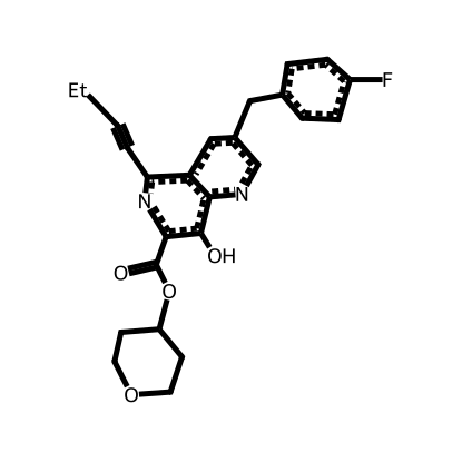 CCC#Cc1nc(C(=O)OC2CCOCC2)c(O)c2ncc(Cc3ccc(F)cc3)cc12